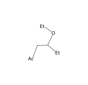 CCOC(CC)CC(C)=O